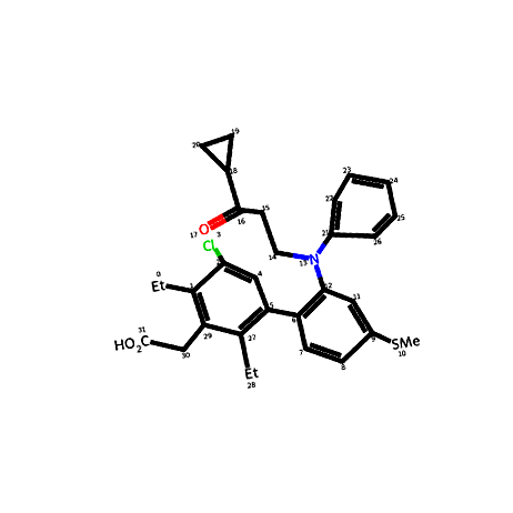 CCc1c(Cl)cc(-c2ccc(SC)cc2N(CCC(=O)C2CC2)c2ccccc2)c(CC)c1CC(=O)O